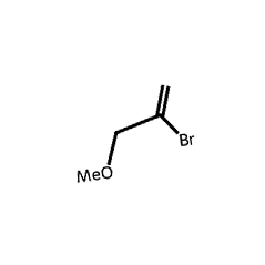 C=C(Br)COC